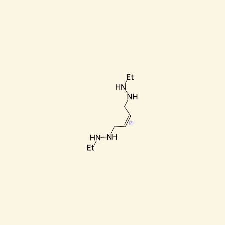 CCNNC/C=C\CNNCC